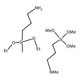 CCO[Si](C)(CCCN)OCC.CNCCC[Si](OC)(OC)OC